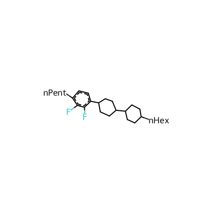 CCCCCCC1CCC(C2CCC(c3ccc(CCCCC)c(F)c3F)CC2)CC1